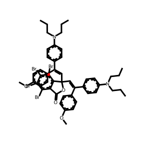 CCCN(CCC)c1ccc(C(=CC2(C=C(c3ccc(OC)cc3)c3ccc(N(CCC)CCC)cc3)OC(=O)c3c(Br)c(Br)c(Br)c(Br)c32)c2ccc(OC)cc2)cc1